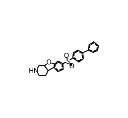 O=S(=O)(c1ccc(-c2ccccc2)cc1)c1ccc2c(c1)OC1CNCCC21